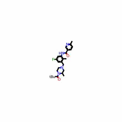 Cc1ccc(C(=O)Nc2cc(F)cc(CN3CCN(C(=O)C(C)(C)C)C(C)C3)c2C)cn1